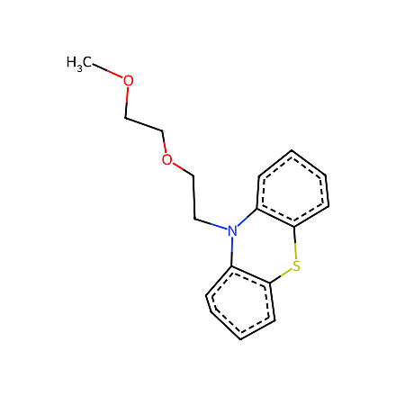 COCCOCCN1c2ccccc2Sc2ccccc21